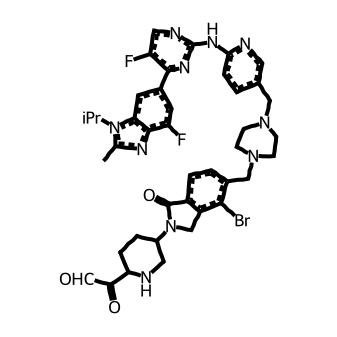 Cc1nc2c(F)cc(-c3nc(Nc4ccc(CN5CCN(Cc6ccc7c(c6Br)CN(C6CCC(C(=O)C=O)NC6)C7=O)CC5)cn4)ncc3F)cc2n1C(C)C